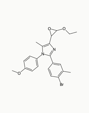 CCOC1OC1c1nc(-c2ccc(Br)c(C)c2)n(-c2ccc(OC)cc2)c1C